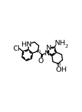 Nc1nn(C(=O)[C@@H]2CCNc3c(Cl)cccc32)c2c1CC[C@@H](O)C2